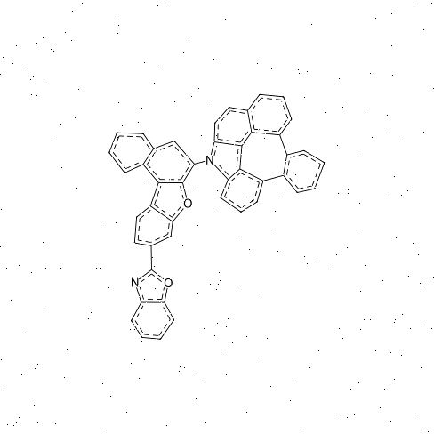 c1ccc2c(c1)-c1cccc3ccc4c(c13)c1c-2cccc1n4-c1cc2ccccc2c2c1oc1cc(-c3nc4ccccc4o3)ccc12